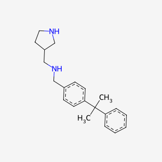 CC(C)(c1ccccc1)c1ccc(CNCC2CCNC2)cc1